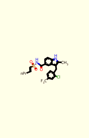 CCCC=CS(=O)(=O)NC(=O)c1ccc2[nH]c(C)c(Cc3ccc(C(F)(F)F)cc3Cl)c2c1